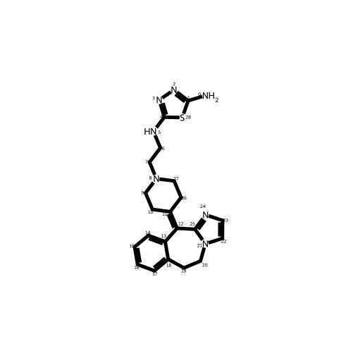 Nc1nnc(NCCN2CCC(=C3c4ccccc4CCn4ccnc43)CC2)s1